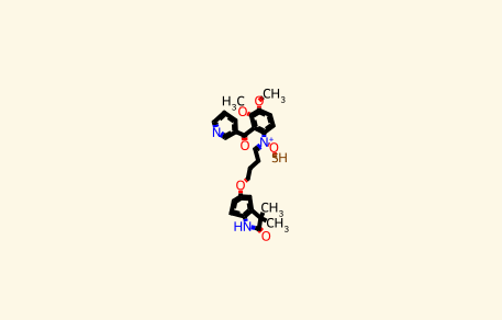 COc1ccc([N+](=CCCCOc2ccc3c(c2)C(C)(C)C(=O)N3)OS)c(C(=O)c2cccnc2)c1OC